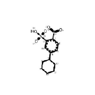 O=I(=O)c1ccc(C2CCCCC2)cc1S(=O)(=O)O